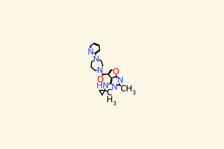 Cc1nc(NC2(C)CC2)c2c(C(=O)N3CCCN(c4ccccn4)CC3)coc2n1